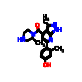 Cc1cc(O)ccc1-c1cc(C(=O)N2CCNC[C@@H]2C)c2c(C)n[nH]c2n1